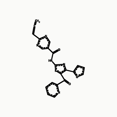 C=C=Cc1ncc(C(=O)Nc2nc(-c3ccco3)c(C(=O)c3ccccn3)s2)cn1